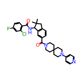 CC1(C)Cc2ccc(C(=O)N3CCC4(CC3)CCN(c3ccncc3)CC4)cc2C1NC(=O)c1ccc(F)cc1Cl